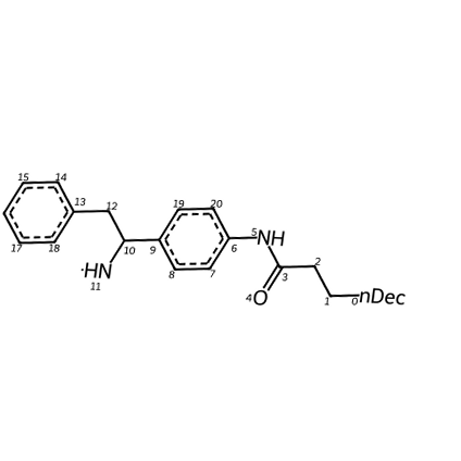 CCCCCCCCCCCCC(=O)Nc1ccc(C([NH])Cc2ccccc2)cc1